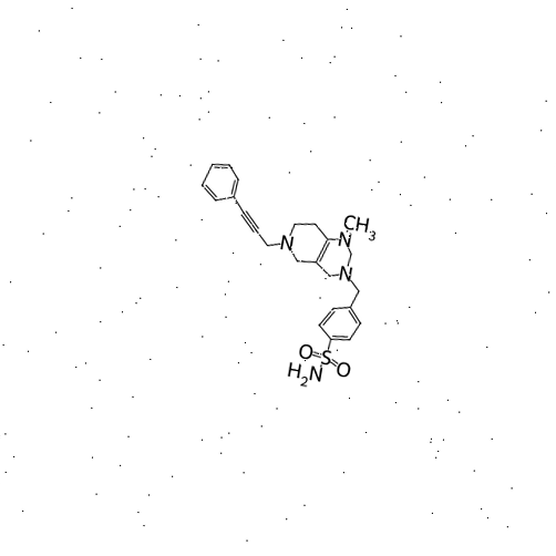 CN1CN(Cc2ccc(S(N)(=O)=O)cc2)CC2=C1CCN(CC#Cc1ccccc1)C2